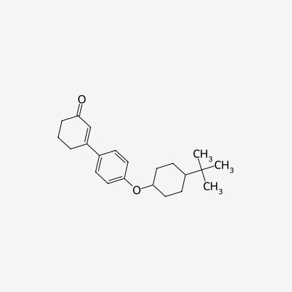 CC(C)(C)C1CCC(Oc2ccc(C3=CC(=O)CCC3)cc2)CC1